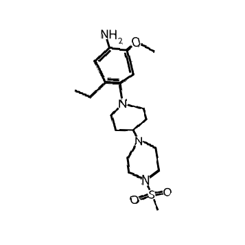 CCc1cc(N)c(OC)cc1N1CCC(N2CCN(S(C)(=O)=O)CC2)CC1